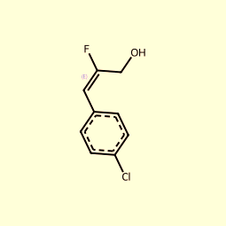 OC/C(F)=C\c1ccc(Cl)cc1